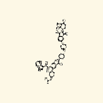 O=C1CCC(N2C(=O)c3ccc(N4CCN(C[C@H]5CC[C@H](N6Cc7cc(NC(=O)c8cnn9cccnc89)c(N8CCN(CC(F)F)CC8)cc7C6=O)CC5)CC4)cc3C2=O)C(=O)N1